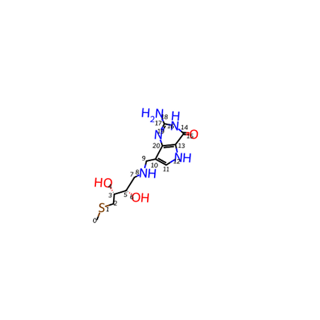 CSC[C@H](O)[C@@H](O)CNCc1c[nH]c2c(=O)[nH]c(N)nc12